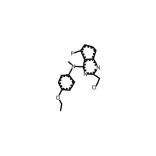 CCOc1ccc(N(C)c2nc(CCl)nc3cccc(F)c23)cc1